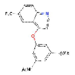 COc1cc(NC(C)=O)cc(Oc2ccnc3ccc(C(F)(F)F)cc23)c1